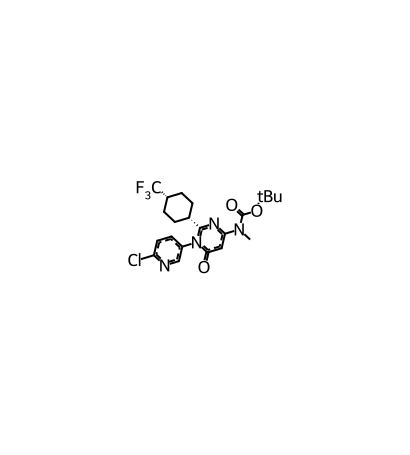 CN(C(=O)OC(C)(C)C)c1cc(=O)n(-c2ccc(Cl)nc2)c([C@H]2CC[C@@H](C(F)(F)F)CC2)n1